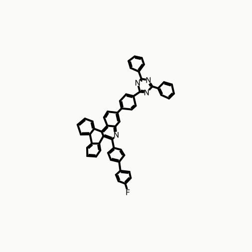 Fc1ccc(-c2ccc(-c3nc4cc(-c5ccc(-c6nc(-c7ccccc7)nc(-c7ccccc7)n6)cc5)ccc4c4c5ccccc5c5ccccc5c34)cc2)cc1